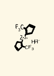 FC(F)(F)C1=[C]([Zr+2][C]2=C(C(F)(F)F)C=CC2)CC=C1.[H-].[H-]